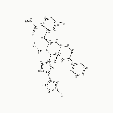 CCOC1C(n2cc(-c3nc(Cl)cs3)nn2)[C@H]2OC(c3ccccc3)OCC2O[C@@H]1Sc1cc(Cl)cnc1C(=O)NC